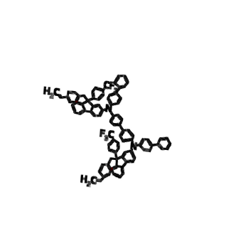 C=Cc1ccc(CC2(c3ccc(C(F)(F)F)cc3)c3ccccc3-c3ccc(N(c4ccc(-c5ccccc5)cc4)c4ccc(-c5ccc(N(c6ccc(-c7ccccc7)cc6)c6ccc7c(c6)C(Cc6ccc(C=C)cc6)(c6ccc(C(F)(F)F)cc6)c6ccccc6-7)cc5)cc4)cc32)cc1